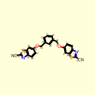 N#Cc1nc2ccc(OCc3cccc(COc4ccc5nc(C#N)sc5c4)c3)cc2s1